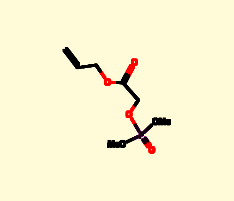 C=CCOC(=O)COP(=O)(OC)OC